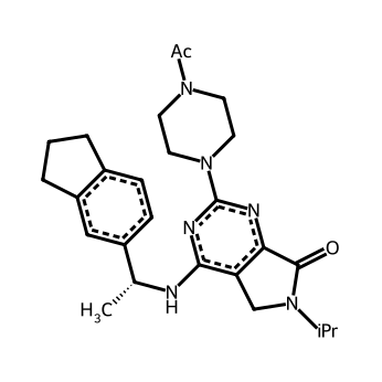 CC(=O)N1CCN(c2nc(N[C@H](C)c3ccc4c(c3)CCC4)c3c(n2)C(=O)N(C(C)C)C3)CC1